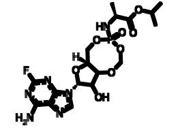 CC(C)OC(=O)[C@H](C)NP1(=O)OCOC2C(O)[C@H](n3cnc4c(N)nc(F)nc43)O[C@@H]2CO1